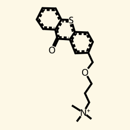 C[N+](C)(C)CCCOCc1ccc2sc3ccccc3c(=O)c2c1